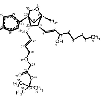 CCCCC[C@@H](O)/C=C/[C@@H]1[C@@H]2C[C@@](c3ccc(F)cc3)(CO2)[C@H]1C/C=C/COCC(=O)OC(C)(C)C